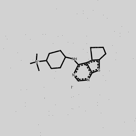 C[N+](C)(C)C1CCC(Nc2ncnc3sc4c(c23)CCC4)CC1.[I-]